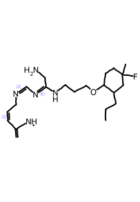 C=C(/C=C\C/N=C\N=C(/CN)NCCCOC1CCC(C)(F)CC1CCC)NC